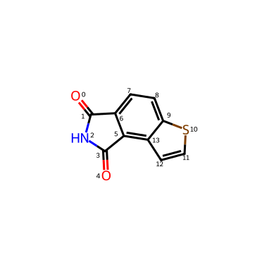 O=C1NC(=O)c2c1ccc1sccc21